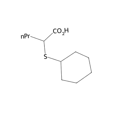 CCCC(SC1CCCCC1)C(=O)O